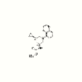 CC(C)(C)OC(=O)N[C@H]1C[C@@H](C2CC2)CN(c2cccc3ncccc23)C1